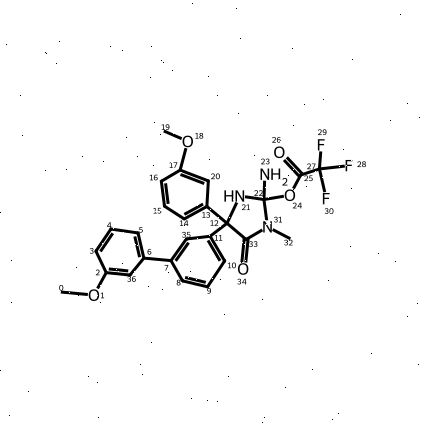 COc1cccc(-c2cccc(C3(c4cccc(OC)c4)NC(N)(OC(=O)C(F)(F)F)N(C)C3=O)c2)c1